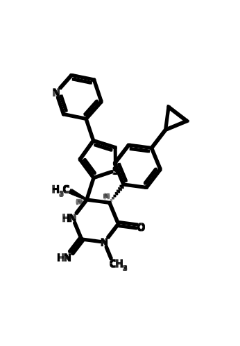 CN1C(=N)N[C@](C)(c2cc(-c3cccnc3)cs2)[C@H](c2ccc(C3CC3)cc2)C1=O